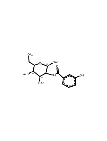 CC(=O)OCC1O[C@@H](OC(C)=O)C(NC(=O)c2cccc(O)c2)[C@@H](OC(C)=O)[C@H]1OC(C)=O